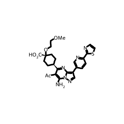 COCCO[C@]1(C(=O)O)CC[C@@H](c2nc3c(-c4ccc(-c5nccs5)nc4)cnn3c(N)c2C(C)=O)CC1